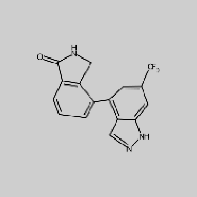 O=C1NCc2c1cccc2-c1cc(C(F)(F)F)cc2[nH]ncc12